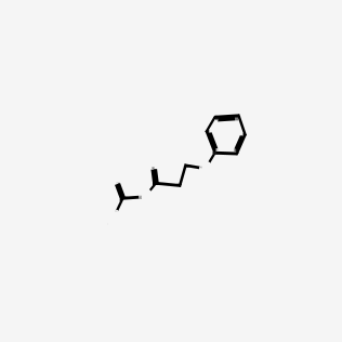 C=C(C)OC(=O)CCOc1ccccc1